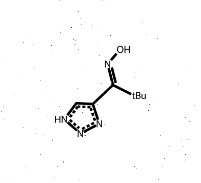 CC(C)(C)C(=NO)c1c[nH]nn1